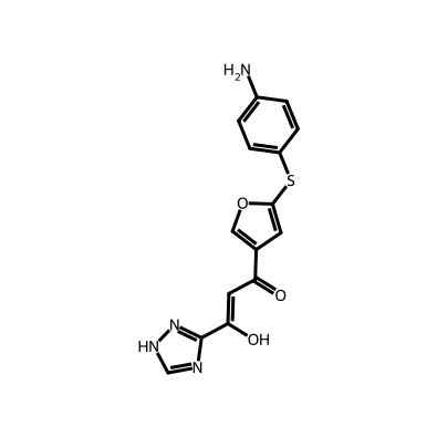 Nc1ccc(Sc2cc(C(=O)C=C(O)c3nc[nH]n3)co2)cc1